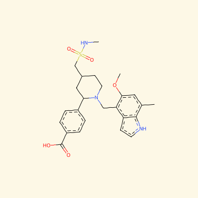 CNS(=O)(=O)CC1CCN(Cc2c(OC)cc(C)c3[nH]ccc23)C(c2ccc(C(=O)O)cc2)C1